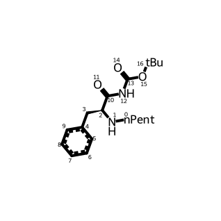 CCCCCN[C@@H](Cc1ccccc1)C(=O)NC(=O)OC(C)(C)C